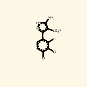 Nc1[nH]nc(-c2ccc(Cl)c(Cl)c2Cl)c1C(=O)O